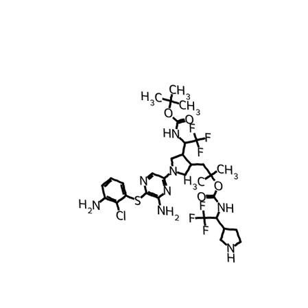 CC(C)(C)OC(=O)NC(C1CN(c2cnc(Sc3cccc(N)c3Cl)c(N)n2)CC1CC(C)(C)OC(=O)NC(C1CCNC1)C(F)(F)F)C(F)(F)F